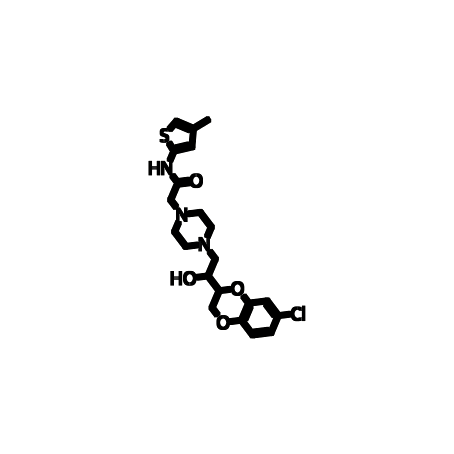 Cc1csc(NC(=O)CN2CCN(CC(O)C3COc4ccc(Cl)cc4O3)CC2)c1